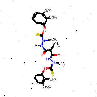 COc1cccc(OC(=S)N(C)NC(=O)C(C)C(=O)N(C(C)=O)N(C)C(=S)Oc2cccc(OC)c2OC)c1OC